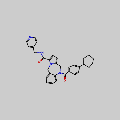 O=C(NCc1ccncc1)c1ccc2n1Cc1ccccc1N(C(=O)c1ccc(C3CCCCC3)cc1)C2